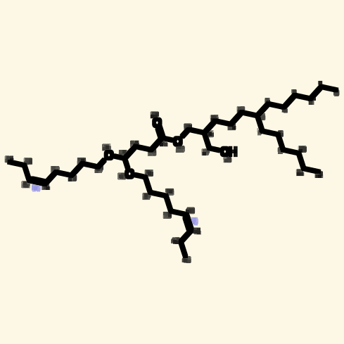 CC[CH]CCCC(CCCCCC)CCCC(CO)COC(=O)CCC(OCCCC/C=C\CC)OCCCC/C=C\CC